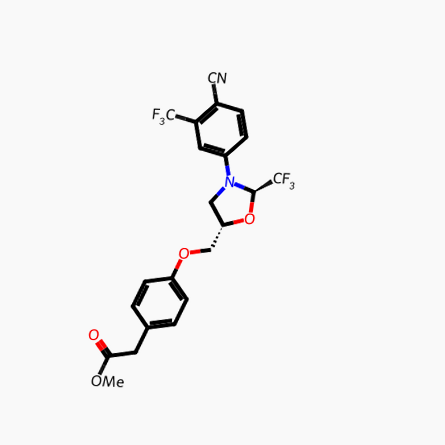 COC(=O)Cc1ccc(OC[C@@H]2CN(c3ccc(C#N)c(C(F)(F)F)c3)[C@@H](C(F)(F)F)O2)cc1